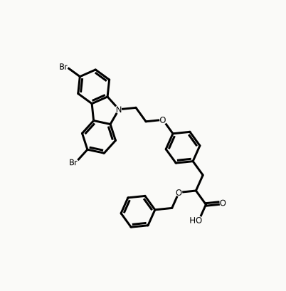 O=C(O)C(Cc1ccc(OCCn2c3ccc(Br)cc3c3cc(Br)ccc32)cc1)OCc1ccccc1